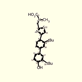 CN(Cc1nc(-c2ccc(-c3ccc(O)c(C(C)(C)C)c3)cc2C(C)(C)C)cs1)C(=O)O